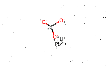 [Li+].[O-]B([O-])[O-].[Pb+2]